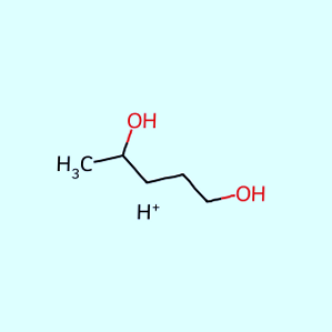 CC(O)CCCO.[H+]